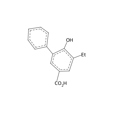 CCc1cc(C(=O)O)cc(-c2ccccc2)c1O